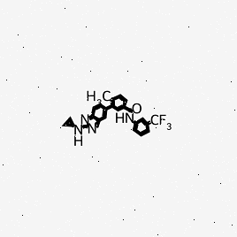 Cc1ccc(C(=O)Nc2cccc(C(F)(F)F)c2)cc1-c1ccc2nc(NC3CC3)ncc2c1